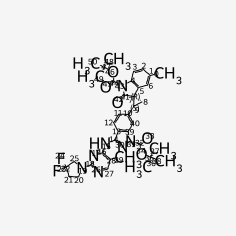 Cc1ccc2c(c1)[C@]1(C[C@H]1c1ccc3c(Nc4nc(N5CCC(F)(F)C5)ncc4C)nn(C(=O)OC(C)(C)C)c3c1)C(=O)N2C(=O)OC(C)(C)C